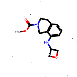 CC(C)(C)OC(=O)N1CCc2cccc(NC3COC3)c2C1